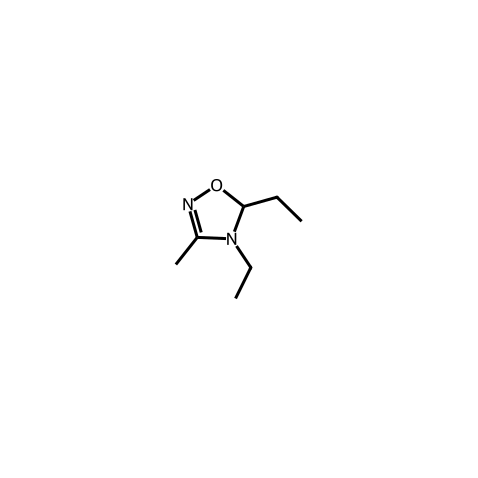 CCC1ON=C(C)N1CC